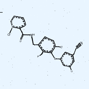 N#Cc1cc(Cl)cc(Oc2c(Cl)ccc(CNC(=O)c3cccc[n+]3[O-])c2F)c1